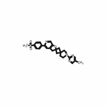 Cc1cnc(N2CCC3(CC2)CC2(Cc4cc(-c5ccc(S(C)(=O)=O)cc5)ncc4O2)C3)nc1